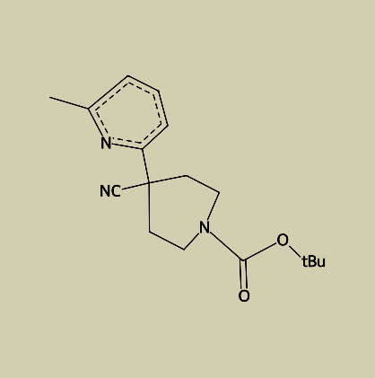 Cc1cccc(C2(C#N)CCN(C(=O)OC(C)(C)C)CC2)n1